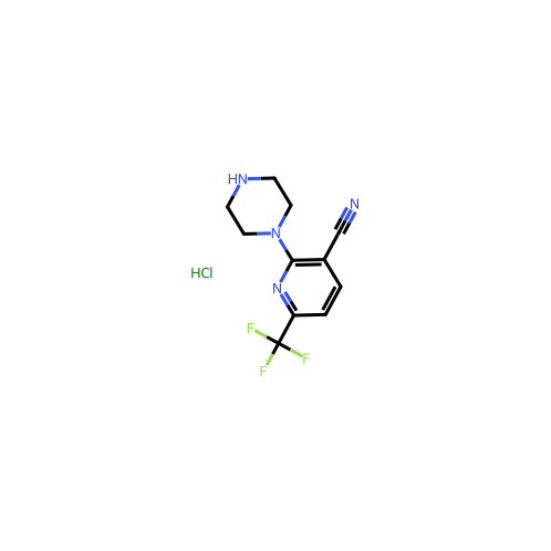 Cl.N#Cc1ccc(C(F)(F)F)nc1N1CCNCC1